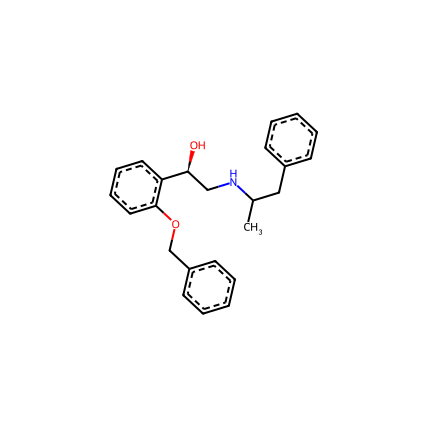 CC(Cc1ccccc1)NC[C@H](O)c1ccccc1OCc1ccccc1